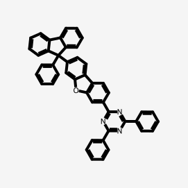 c1ccc(-c2nc(-c3ccccc3)nc(-c3ccc4c(c3)oc3cc(C5(c6ccccc6)c6ccccc6-c6ccccc65)ccc34)n2)cc1